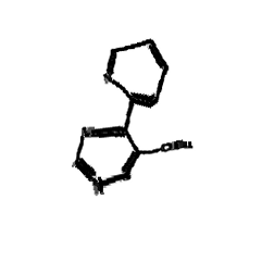 CC(C)COc1cn[c]nc1-c1ccccn1